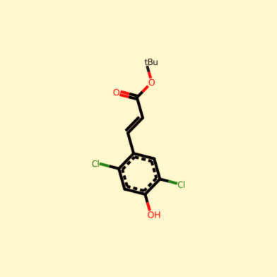 CC(C)(C)OC(=O)/C=C/c1cc(Cl)c(O)cc1Cl